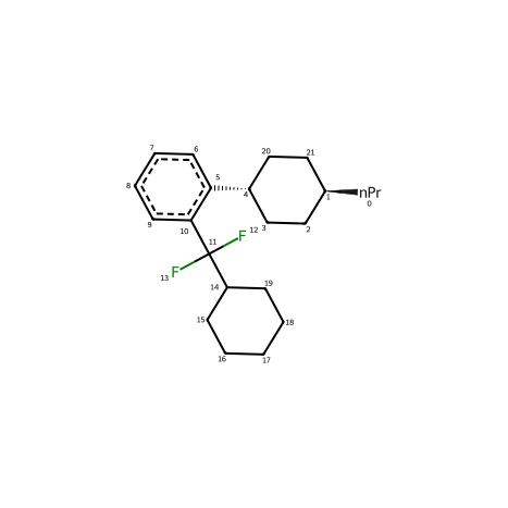 CCC[C@H]1CC[C@H](c2ccccc2C(F)(F)C2CCCCC2)CC1